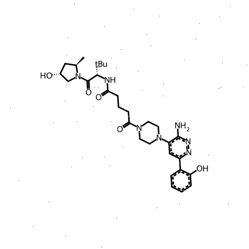 C[C@@H]1C[C@@H](O)CN1C(=O)[C@@H](NC(=O)CCCC(=O)N1CCN(c2cc(-c3ccccc3O)nnc2N)CC1)C(C)(C)C